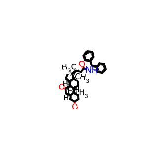 C[C@H](CC(=O)NC(c1ccccc1)c1ccccc1)[C@H]1CC[C@H]2[C@@H]3C(=O)C[C@@H]4CC(=O)CC[C@]4(C)[C@H]3CC[C@]12C